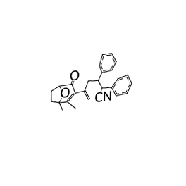 C=C(CC(c1ccccc1)C(C#N)c1ccccc1)C1=C(C)C2(C)CCC(O2)C1=O